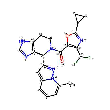 Cc1cccc2cc([C@@H]3c4nc[nH]c4CCN3C(=O)c3oc(C4CC4)nc3C(F)F)nn12